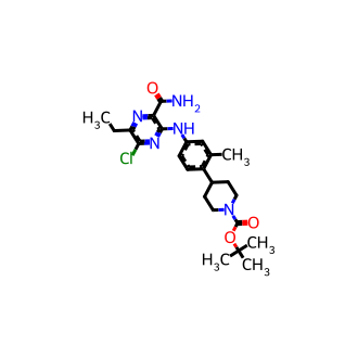 CCc1nc(C(N)=O)c(Nc2ccc(C3CCN(C(=O)OC(C)(C)C)CC3)c(C)c2)nc1Cl